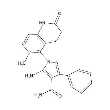 Cc1ccc2c(c1-n1nc(-c3ccccc3)c(C(N)=O)c1N)CCC(=O)N2